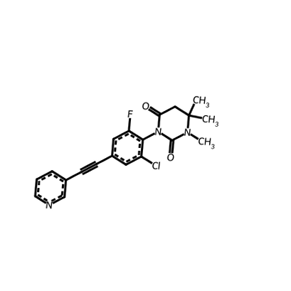 CN1C(=O)N(c2c(F)cc(C#Cc3cccnc3)cc2Cl)C(=O)CC1(C)C